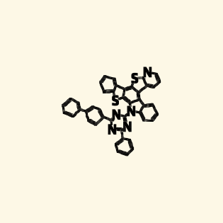 c1ccc(-c2ccc(-c3nc(-c4ccccc4)nc(-n4c5ccccc5c5c6c7cccnc7sc6c6c7ccccc7sc6c54)n3)cc2)cc1